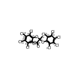 CC(Oc1c(Cl)c(Cl)c(Cl)c(Cl)c1Cl)(Oc1c(Cl)c(Cl)c(Cl)c(Cl)c1Cl)C(=O)O